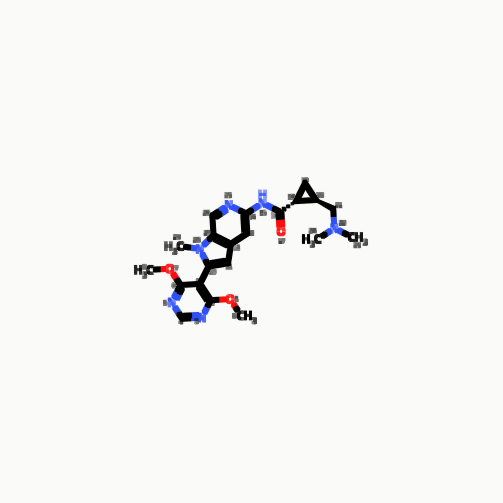 COc1ncnc(OC)c1-c1cc2cc(NC(=O)[C@@H]3C[C@H]3CN(C)C)ncc2n1C